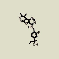 CCC(C)(O)c1ccc(CNc2ncnc3c2sc2nnc(C)c(C)c23)c(F)c1